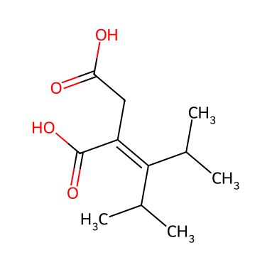 CC(C)C(=C(CC(=O)O)C(=O)O)C(C)C